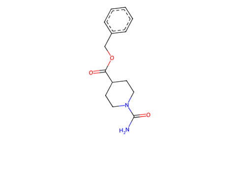 NC(=O)N1CCC(C(=O)OCc2ccccc2)CC1